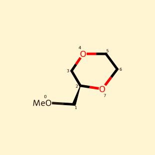 COC[C@H]1COCCO1